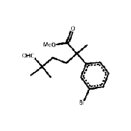 COC(=O)C(C)(CCC(C)(C)C=O)c1cccc(Br)c1